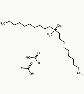 CCCCCCCCCC[N+](C)(C)CCCCCCCCCC.O=C(O)O.O=C([O-])O